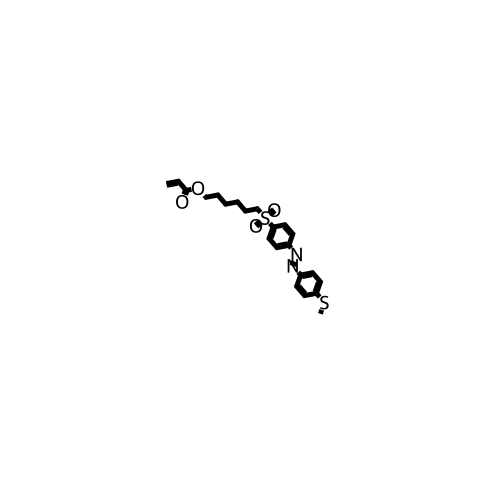 C=CC(=O)OCCCCCCS(=O)(=O)c1ccc(/N=N/c2ccc(SC)cc2)cc1